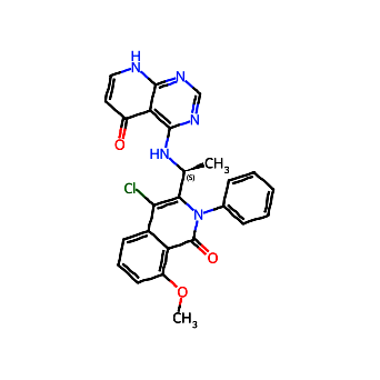 COc1cccc2c(Cl)c([C@H](C)Nc3ncnc4[nH]ccc(=O)c34)n(-c3ccccc3)c(=O)c12